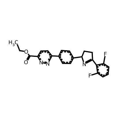 CCOC(=O)c1ccc(-c2ccc(C3CCC(c4c(F)cccc4F)=N3)cc2)nn1